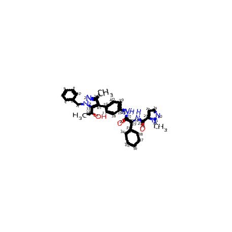 Cc1nn(Cc2ccccc2)c(C(C)O)c1-c1ccc(NC(=O)[C@@H](NC(=O)c2ccnn2C)C2CCCCC2)cc1